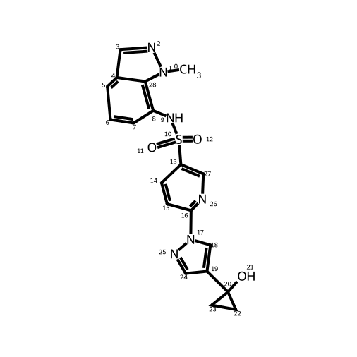 Cn1ncc2cccc(NS(=O)(=O)c3ccc(-n4cc(C5(O)CC5)cn4)nc3)c21